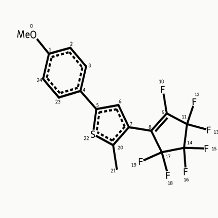 COc1ccc(-c2cc(C3=C(F)C(F)(F)C(F)(F)C3(F)F)c(C)s2)cc1